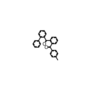 Cc1ccc(C(=O)c2ccccc2C(=O)c2ccccc2-c2ccccc2)cc1